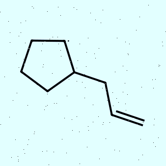 C=CCC1[CH]CCC1